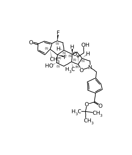 CC(C)(C)OC(=O)c1ccc(CN2C[C@@H]3C[C@H]4[C@@H]5C[C@H](F)C6=CC(=O)C=C[C@]6(C)[C@@]5(F)[C@@H](O)C[C@]4(C)[C@]3(C(=O)CO)O2)cc1